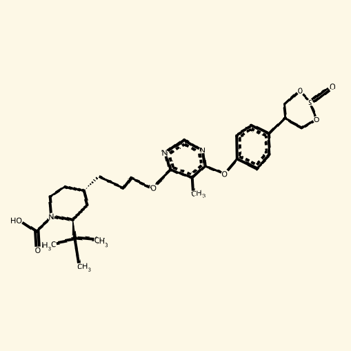 Cc1c(OCCC[C@H]2CCN(C(=O)O)[C@H](C(C)(C)C)C2)ncnc1Oc1ccc(C2COS(=O)OC2)cc1